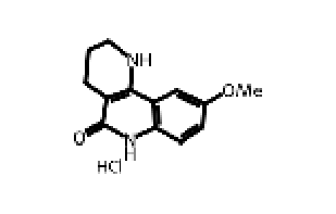 COc1ccc2[nH]c(=O)c3c(c2c1)NCCC3.Cl